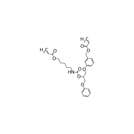 C=CC(=O)OCCCCCNC(=O)OC(COc1ccccc1)COc1cccc(COC(=O)C=C)c1